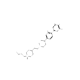 CCCC[Si]1(C)CCC(CC[SiH]2CCC(c3ccc(-c4cc(F)c(Cl)c(F)c4)c(F)c3)CC2)CC1